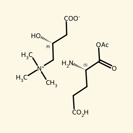 CC(=O)OC(=O)[C@@H](N)CCC(=O)O.C[N+](C)(C)C[C@H](O)CC(=O)[O-]